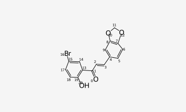 O=C(C=Cc1ccc2c(c1)OCO2)c1cc(Br)ccc1O